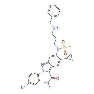 CNC(=O)c1c2cc(C3CC3)c(N(CCCNCc3cccnc3)S(C)(=O)=O)cc2nn1-c1ccc(Br)cc1